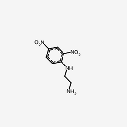 NCCNc1ccc([N+](=O)[O-])cc1[N+](=O)[O-]